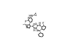 CCn1ncc(C(=O)N[C@H]2N=C(c3ccccc3)c3cccc(F)c3NC2=O)c1-c1ccc(NC2CC2)nc1F